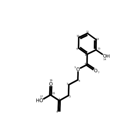 C=C(CCCOC(=O)c1ccccc1O)C(=O)O